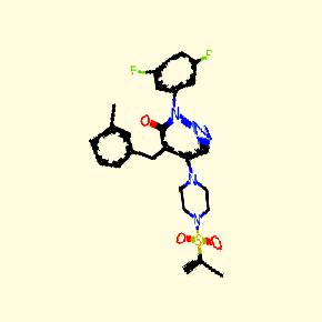 Cc1cccc(Cc2c(N3CCN(S(=O)(=O)C(C)C)CC3)cnn(-c3cc(F)cc(F)c3)c2=O)c1